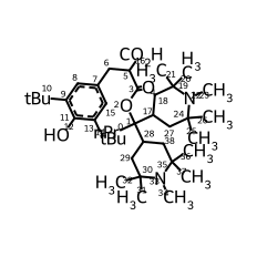 CCCC(OC(=O)C(Cc1cc(C(C)(C)C)c(O)c(C(C)(C)C)c1)C(=O)O)(C1CC(C)(C)N(C)C(C)(C)C1)C1CC(C)(C)N(C)C(C)(C)C1